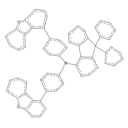 c1ccc(C2(c3ccccc3)c3ccccc3-c3c(N(c4ccc(-c5cccc6oc7ccccc7c56)cc4)c4ccc(-c5cccc6oc7ccccc7c56)cc4)cccc32)cc1